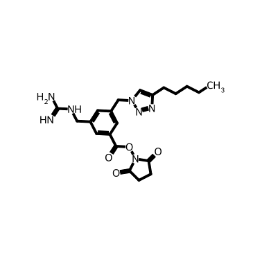 CCCCCc1cn(Cc2cc(CNC(=N)N)cc(C(=O)ON3C(=O)CCC3=O)c2)nn1